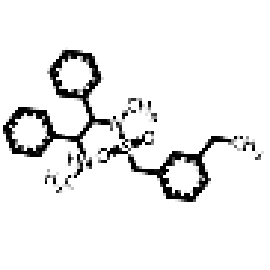 CCc1cccc(CS(=O)(=O)N(C)C(c2ccccc2)C(NC)c2ccccc2)c1